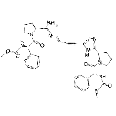 COC(=O)N[C@@H](C(=O)N1CCC[C@H]1/C(N)=N/C=C/C#Cc1cnc([C@@H]2CCCN2C(=O)[C@H](NC(=O)OC)c2ccccc2)[nH]1)c1ccccc1